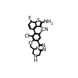 N#CC1=C(N)SC2C1=C(c1c(F)cc3c(c1Cl)OCC1CNCc4nnc-3n41)C=CC2F